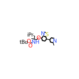 Cc1cc(-c2ccc(OCC(C)(CC(C)C)NC(=O)OC(C)(C)C)c3ncsc23)ccn1